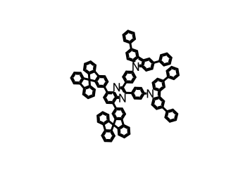 c1ccc(-c2ccc3c(c2)c2cc(-c4ccccc4)ccc2n3-c2ccc(-c3nc4c(-c5ccc6c(c5)C5(c7ccccc7-c7ccccc75)c5ccccc5-6)ccc(-c5ccc6c(c5)C5(c7ccccc7-c7ccccc75)c5ccccc5-6)c4nc3-c3ccc(-n4c5ccc(-c6ccccc6)cc5c5cc(-c6ccccc6)ccc54)cc3)cc2)cc1